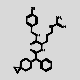 N=C(N)NCCC[C@@H](NC(=O)C(c1ccccc1)N1CCC2(CC1)CC2)C(=O)NCc1ccc(O)cc1